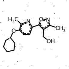 Cc1nc(-c2onc(C)c2CO)ccc1OC1CCCCC1